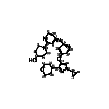 OC1CCN(c2cc(Nc3cc(Oc4cn(C5CC5)nc4C4CCOCC4)ccn3)ccn2)CC1